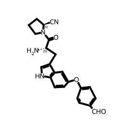 N#C[C@@H]1CCCN1C(=O)[C@@H](N)Cc1c[nH]c2ccc(Oc3ccc(C=O)cc3)cc12